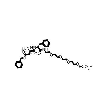 N[C@@H](CC(=O)OCc1ccccc1)C(=O)N[C@@H](Cc1ccccc1)C(=O)NCCOCCOCCOCCOCC(=O)O